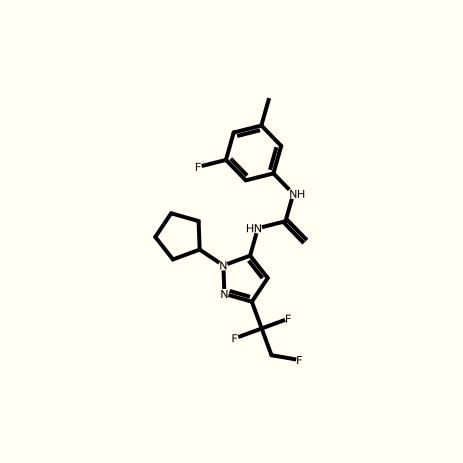 C=C(Nc1cc(C)cc(F)c1)Nc1cc(C(F)(F)CF)nn1C1CCCC1